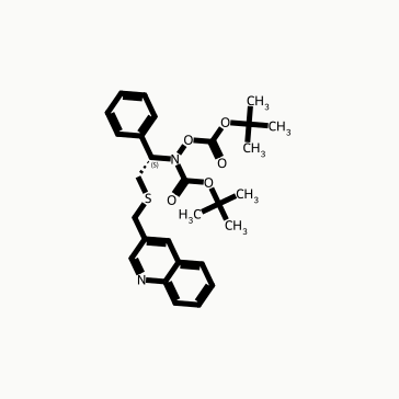 CC(C)(C)OC(=O)ON(C(=O)OC(C)(C)C)[C@H](CSCc1cnc2ccccc2c1)c1ccccc1